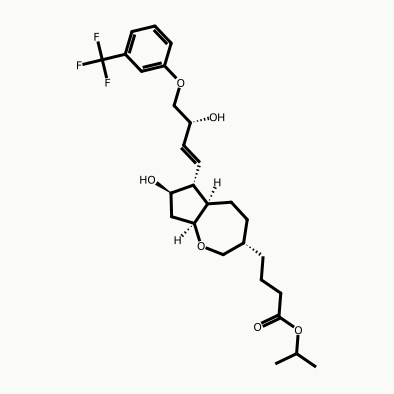 CC(C)OC(=O)CCC[C@H]1CC[C@@H]2[C@@H](/C=C/[C@@H](O)COc3cccc(C(F)(F)F)c3)[C@H](O)C[C@@H]2OC1